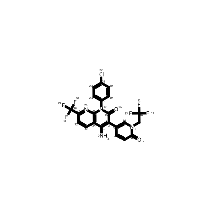 Nc1c(-c2ccc(=O)n(CC(F)(F)F)c2)c(=O)n(-c2ccc(Cl)cc2)c2nc(C(F)(F)F)ccc12